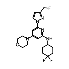 FCc1ccn(-c2cc(N3CCOCC3)cc(NC3CCC(F)(F)CC3)n2)n1